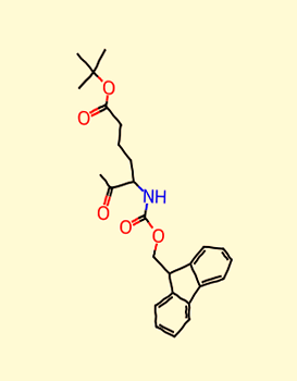 CC(=O)C(CCCC(=O)OC(C)(C)C)NC(=O)OCC1c2ccccc2-c2ccccc21